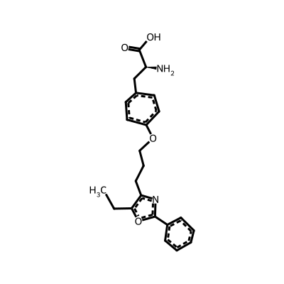 CCc1oc(-c2ccccc2)nc1CCCOc1ccc(C[C@H](N)C(=O)O)cc1